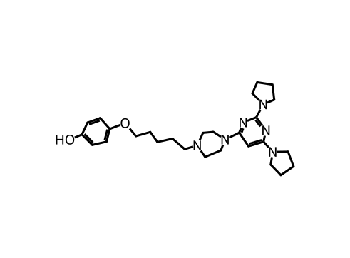 Oc1ccc(OCCCCCN2CCN(c3cc(N4CCCC4)nc(N4CCCC4)n3)CC2)cc1